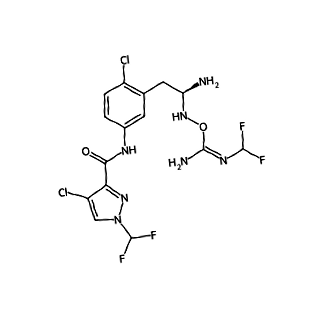 N/C(=N/C(F)F)ON[C@H](N)Cc1cc(NC(=O)c2nn(C(F)F)cc2Cl)ccc1Cl